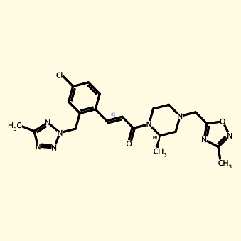 Cc1noc(CN2CCN(C(=O)/C=C/c3ccc(Cl)cc3Cn3nnc(C)n3)[C@H](C)C2)n1